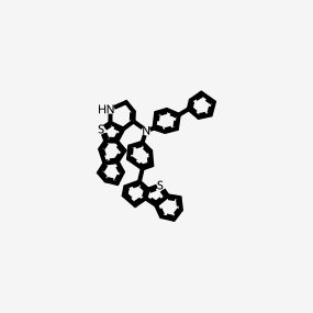 C1=C(N(c2ccc(-c3ccccc3)cc2)c2ccc(-c3cccc4c3sc3ccccc34)cc2)c2c(sc3cc4ccccc4cc23)NC1